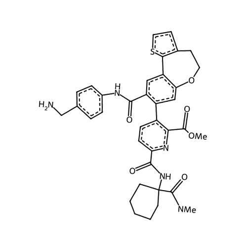 CNC(=O)C1(NC(=O)c2ccc(-c3cc4c(cc3C(=O)Nc3ccc(CN)cc3)-c3sccc3CCO4)c(C(=O)OC)n2)CCCCC1